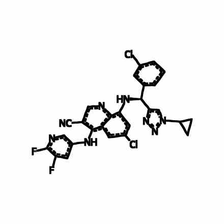 N#Cc1cnc2c(N[C@@H](c3cccc(Cl)c3)c3cn(C4CC4)nn3)cc(Cl)cc2c1Nc1cnc(F)c(F)c1